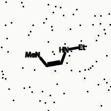 CCN/C=C\NC